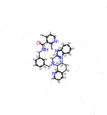 Cc1ccnc(C)c1C(=O)NCc1cccc(CN(Cc2nc3ccccc3[nH]2)C2CCCc3cccnc32)c1